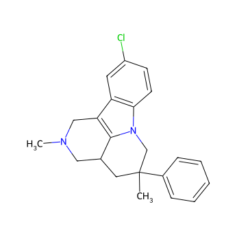 CN1Cc2c3n(c4ccc(Cl)cc24)CC(C)(c2ccccc2)CC3C1